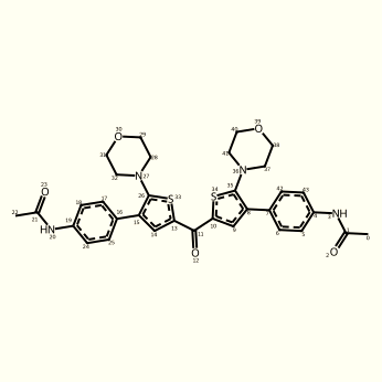 CC(=O)Nc1ccc(-c2cc(C(=O)c3cc(-c4ccc(NC(C)=O)cc4)c(N4CCOCC4)s3)sc2N2CCOCC2)cc1